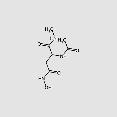 CNC(=O)C(CC(=O)NO)NC(C)=O